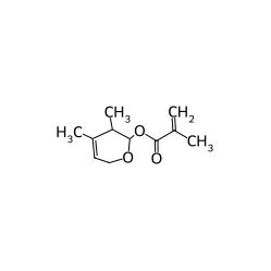 C=C(C)C(=O)OC1OCC=C(C)C1C